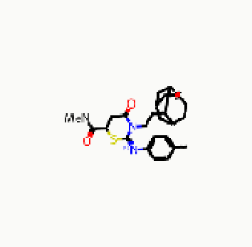 CNC(=O)C1CC(=O)N(CCC2C3CC4CCC(C3)CC2C4)/C(=N\c2ccc(C)cc2)S1